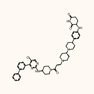 O=C1CCC(Nc2ccc(C3CCN(C4CCN(CCC(=O)N5CCC(Nc6ncc(Cl)c(-c7cccc(-c8ccccc8)c7)n6)CC5)CC4)CC3)cc2)C(=O)N1